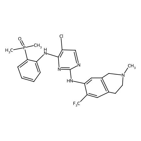 CN1CCc2cc(C(F)(F)F)c(Nc3ncc(Cl)c(Nc4ccccc4P(C)(C)=O)n3)cc2C1